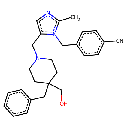 Cc1ncc(CN2CCC(CO)(Cc3ccccc3)CC2)n1Cc1ccc(C#N)cc1